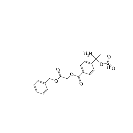 CC(N)(O[SH](=O)=O)c1ccc(C(=O)OCC(=O)OCc2ccccc2)cc1